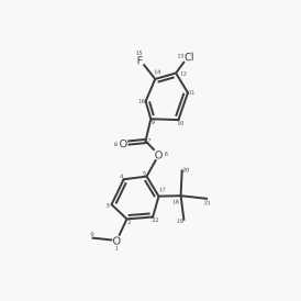 COc1ccc(OC(=O)c2ccc(Cl)c(F)c2)c(C(C)(C)C)c1